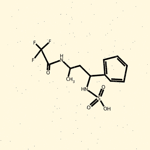 CC(CC(NS(=O)(=O)O)c1ccccc1)NC(=O)C(F)(F)F